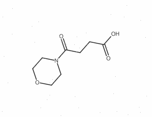 O=C(O)CCC(=O)N1CCOCC1